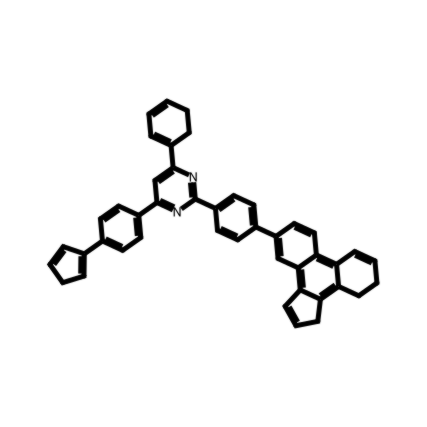 C1=CCCC(c2cc(-c3ccc(C4=CCC=C4)cc3)nc(-c3ccc(-c4ccc5c6c(c7c(c5c4)C=CC7)CCC=C6)cc3)n2)=C1